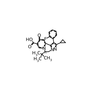 CC(C)(C)[C@@H]1Cn2nc(C3CC3)c(-c3ccccc3F)c2-c2cc(=O)c(C(=O)O)cn21